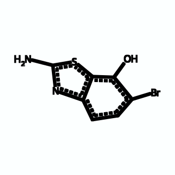 Nc1nc2ccc(Br)c(O)c2s1